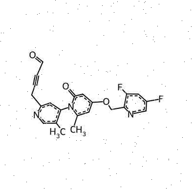 Cc1cnc(CC#CC=O)cc1-n1c(C)cc(OCc2ncc(F)cc2F)cc1=O